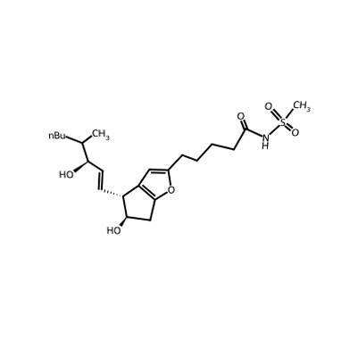 CCCCC(C)[C@H](O)C=C[C@@H]1c2cc(CCCCC(=O)NS(C)(=O)=O)oc2C[C@H]1O